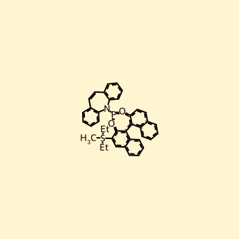 CCS(C)(CC)c1cc2ccccc2c2c1op(N1c3ccccc3C=Cc3ccccc31)oc1ccc3ccccc3c12